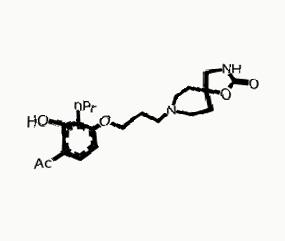 CCCc1c(OCCCN2CCC3(CC2)CNC(=O)O3)ccc(C(C)=O)c1O